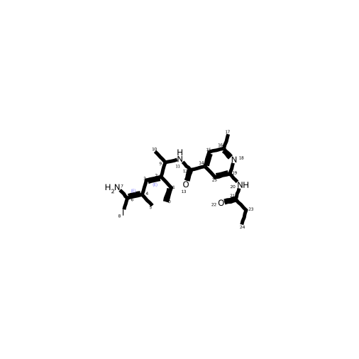 C=C/C(=C\C(C)=C(/N)I)C(C)NC(=O)c1cc(C)nc(NC(=O)CC)c1